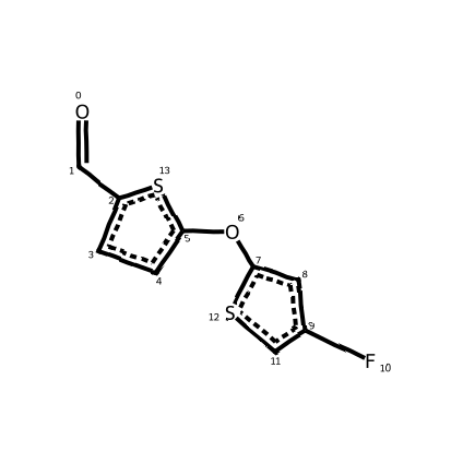 O=Cc1ccc(Oc2cc(F)cs2)s1